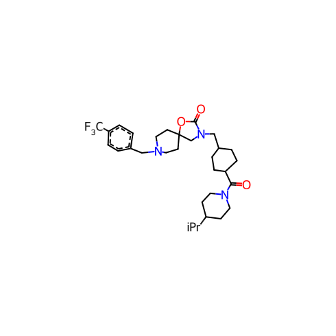 CC(C)C1CCN(C(=O)C2CCC(CN3CC4(CCN(Cc5ccc(C(F)(F)F)cc5)CC4)OC3=O)CC2)CC1